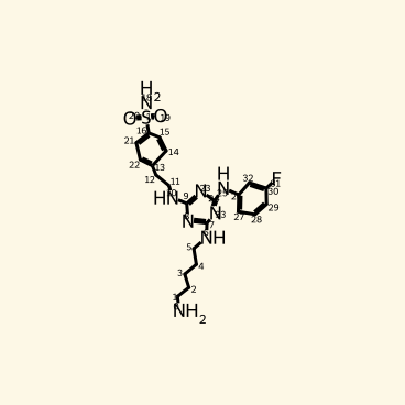 NCCCCCNc1nc(NCCc2ccc(S(N)(=O)=O)cc2)nc(Nc2cccc(F)c2)n1